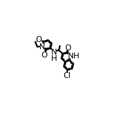 CC(Nc1ccc2n(c1=O)CCO2)c1cc2cc(Cl)ccc2[nH]c1=O